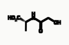 C[C@@H](NC(=O)CO)C(=O)O